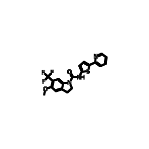 COc1cc2c(cc1C(F)(F)F)N(C(=O)Nc1ccc(-c3ccccn3)s1)CC2